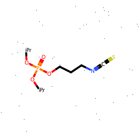 CC(C)OP(=O)(OCCCN=C=S)OC(C)C